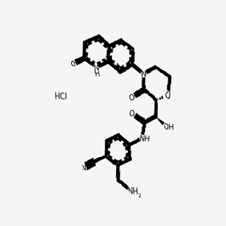 Cl.N#Cc1ccc(NC(=O)[C@H](O)[C@H]2OCCN(c3ccc4ccc(=O)[nH]c4c3)C2=O)cc1CN